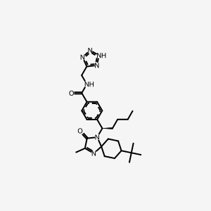 CCCC[C@H](c1ccc(C(=O)NCc2nn[nH]n2)cc1)N1C(=O)C(C)=NC12CCC(C(C)(C)C)CC2